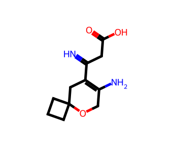 N=C(CC(=O)O)C1=C(N)COC2(CCC2)C1